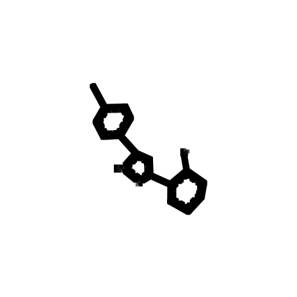 Cc1ccc(-c2cc(-c3ccccc3Br)n[nH]2)cc1